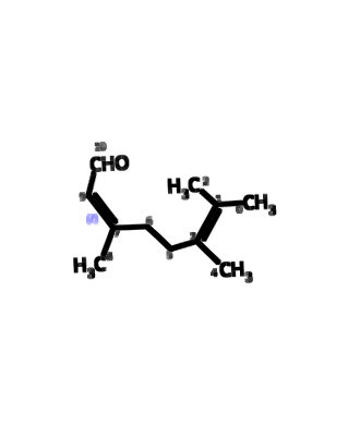 CC(C)=C(C)CC/C(C)=C\C=O